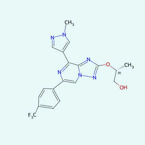 C[C@H](CO)Oc1nc2c(-c3cnn(C)c3)nc(-c3ccc(C(F)(F)F)cc3)cn2n1